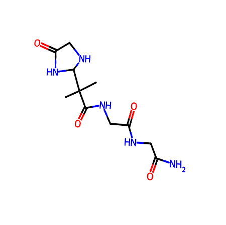 CC(C)(C(=O)NCC(=O)NCC(N)=O)C1NCC(=O)N1